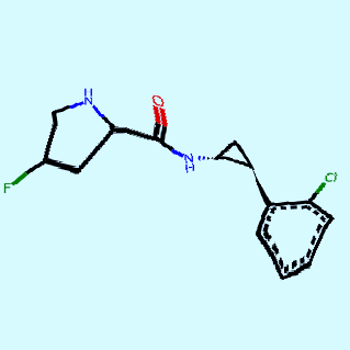 O=C(N[C@@H]1C[C@H]1c1ccccc1Cl)C1CC(F)CN1